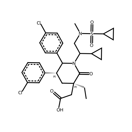 CC[C@]1(CC(=O)O)C[C@H](c2cccc(Cl)c2)C(c2ccc(Cl)cc2)N(C(CN(C)S(=O)(=O)C2CC2)C2CC2)C1=O